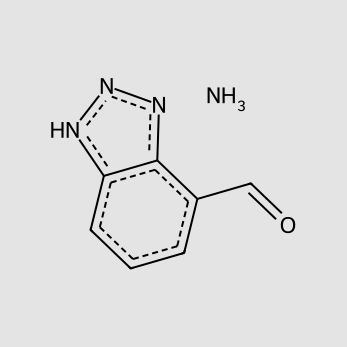 N.O=Cc1cccc2[nH]nnc12